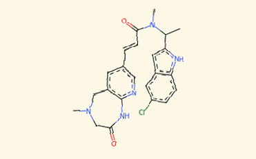 CC(c1cc2cc(Cl)ccc2[nH]1)N(C)C(=O)C=Cc1cnc2c(c1)CN(C)CC(=O)N2